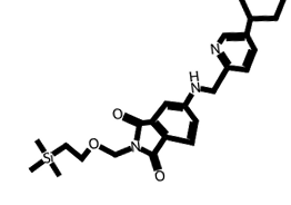 C[Si](C)(C)CCOCN1C(=O)c2ccc(NCc3ccc(C4CCCCC4)cn3)cc2C1=O